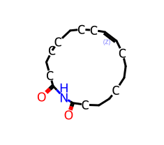 O=C1CCCCCCC/C=C\CCCCCCCC(=O)N1